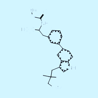 CC(=O)OCC(C)(C)Cc1c[nH]c2ccc(-c3cccc(CC(NC(=O)OC(C)(C)C)C(=O)O)c3)cc12